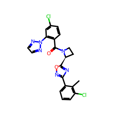 Cc1c(Cl)cccc1-c1noc([C@@H]2CCN2C(=O)c2ccc(Cl)cc2-n2nccn2)n1